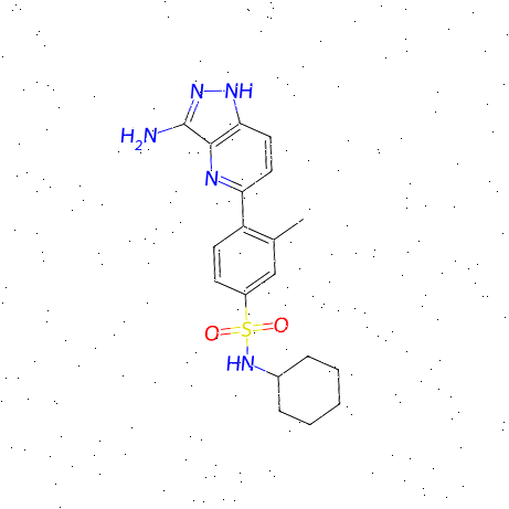 Cc1cc(S(=O)(=O)NC2CCCCC2)ccc1-c1ccc2[nH]nc(N)c2n1